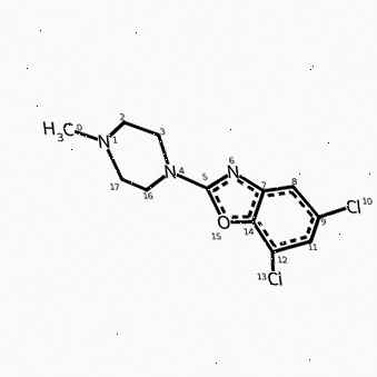 CN1CCN(c2nc3cc(Cl)cc(Cl)c3o2)CC1